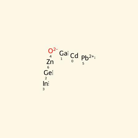 [Cd].[Ga].[Ge].[In].[O-2].[Pb+2].[Zn]